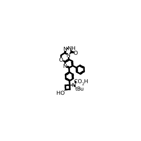 CC(C)(C)N(C(=O)O)[C@]1(c2ccc(-c3nc4c(cc3-c3ccccc3)-n3c(n[nH]c3=O)CO4)cc2)C[C@@H](O)C1